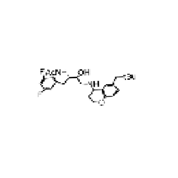 CC(=O)N[C@@H](Cc1cc(F)cc(F)c1)[C@@H](O)CNC1CCOc2ccc(CC(C)(C)C)cc21